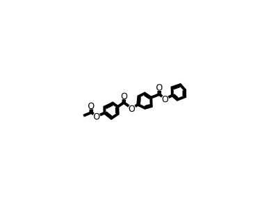 CC(=O)Oc1ccc(C(=O)Oc2ccc(C(=O)Oc3ccccc3)cc2)cc1